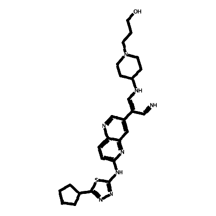 N=C/C(=C\NC1CCN(CCCO)CC1)c1cnc2ccc(Nc3nnc(C4CCCC4)s3)nc2c1